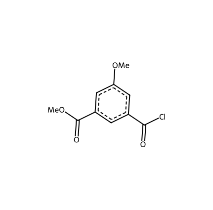 COC(=O)c1cc(OC)cc(C(=O)Cl)c1